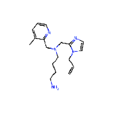 C=CCn1ccnc1CN(CCCCN)Cc1ncccc1C